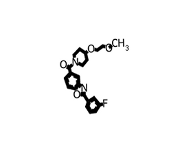 COCCOC1CCN(C(=O)c2ccc3oc(-c4cccc(F)c4)nc3c2)CC1